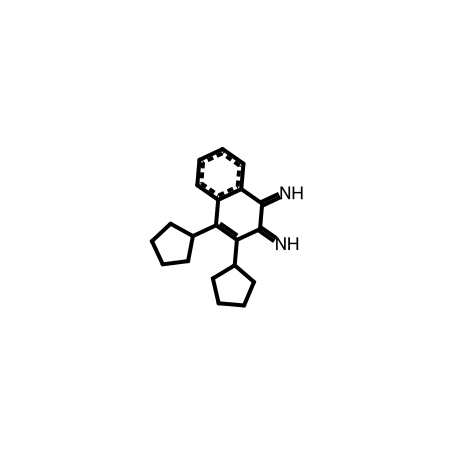 N=C1C(=N)c2ccccc2C(C2CCCC2)=C1C1CCCC1